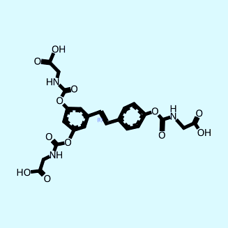 O=C(O)CNC(=O)Oc1ccc(/C=C/c2cc(OC(=O)NCC(=O)O)cc(OC(=O)NCC(=O)O)c2)cc1